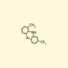 CC(=O)c1cccc(C)c1Nc1cccc(C(F)(F)F)c1